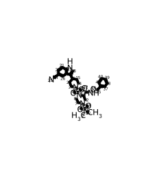 CN(C)S(=O)(=O)N1CCN(S(=O)(=O)N2CCC(c3c[nH]c4ccc(C#N)cc34)CC2)[C@@H](C(=O)NOCc2ccccc2)C1